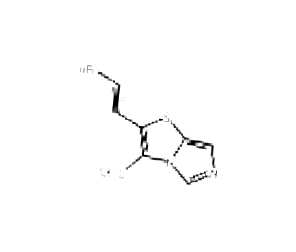 CCC/C=C/c1sc2cncn2c1C=O